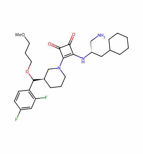 COCCCOC(c1ccc(F)cc1F)[C@@H]1CCCN(c2c(N[C@H](CN)CC3CCCCC3)c(=O)c2=O)C1